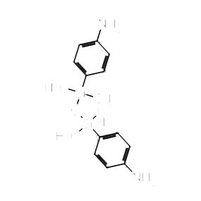 C[Si](C)(O[Si](C)(C)c1ccc(N)cc1)c1ccc(N)cc1